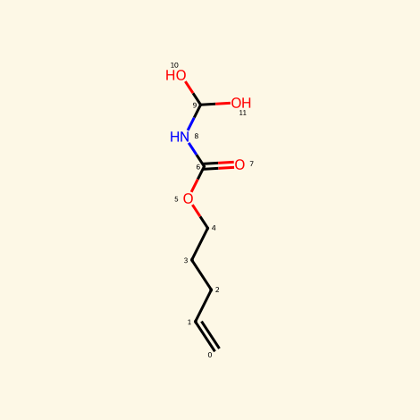 C=CCCCOC(=O)NC(O)O